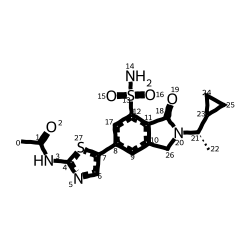 CC(=O)Nc1ncc(-c2cc3c(c(S(N)(=O)=O)c2)C(=O)N([C@@H](C)C2CC2)C3)s1